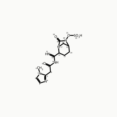 Cn1ccnc1CC(=O)NC(=N)C1CCC2CN1C(=O)N2OS(=O)(=O)O